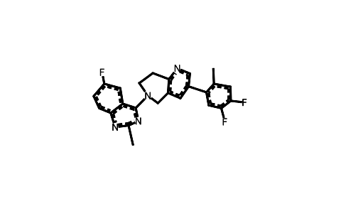 Cc1nc(N2CCc3ncc(-c4cc(F)c(F)cc4C)cc3C2)c2cc(F)ccc2n1